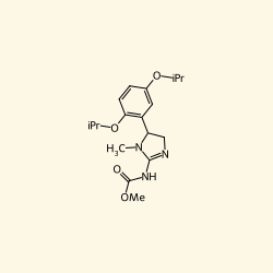 COC(=O)NC1=NCC(c2cc(OC(C)C)ccc2OC(C)C)N1C